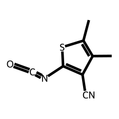 Cc1sc(N=C=O)c(C#N)c1C